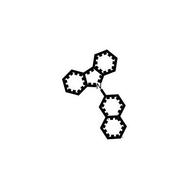 [c]1ccc2cc(-n3c4ccccc4c4ccccc43)ccc2c1